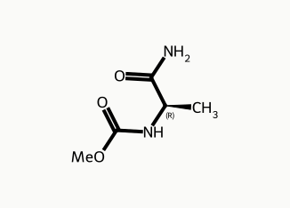 COC(=O)N[C@H](C)C(N)=O